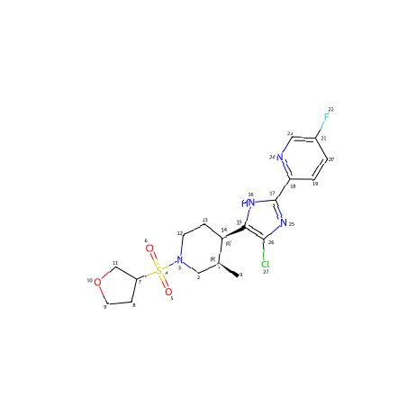 C[C@H]1CN(S(=O)(=O)C2CCOC2)CC[C@H]1c1[nH]c(-c2ccc(F)cn2)nc1Cl